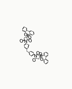 O=C1CC(P2(=O)Oc3ccccc3-c3ccccc32)C(=O)N1c1ccc(Cc2ccc(N3C(=O)CC(P4(=O)Oc5ccccc5-c5ccccc54)C3=O)cc2)cc1